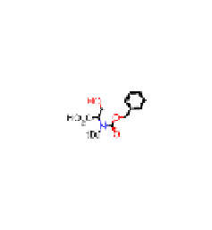 CC(C)(C)N(C(=O)OCc1ccccc1)[C@H](CO)C(=O)O